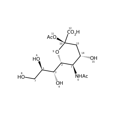 CC(=O)N[C@H]1[C@H]([C@H](O)[C@H](O)CO)O[C@](OC(C)=O)(C(=O)O)C[C@@H]1O